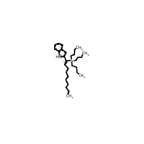 CCCCCCCC/C=[C](/c1cc2ccccc2[nH]1)[Sn]([CH2]CCC)([CH2]CCC)[CH2]CCC